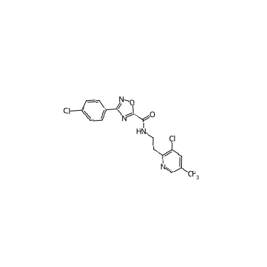 O=C(NCCc1ncc(C(F)(F)F)cc1Cl)c1nc(-c2ccc(Cl)cc2)no1